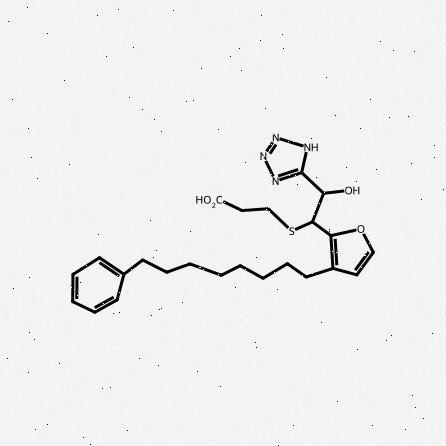 O=C(O)CCSC(c1occc1CCCCCCCCc1ccccc1)C(O)c1nnn[nH]1